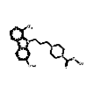 COc1ccc2c3ccnc(C(F)(F)F)c3n(CCCN3CCN(C(=O)OC(C)(C)C)CC3)c2c1